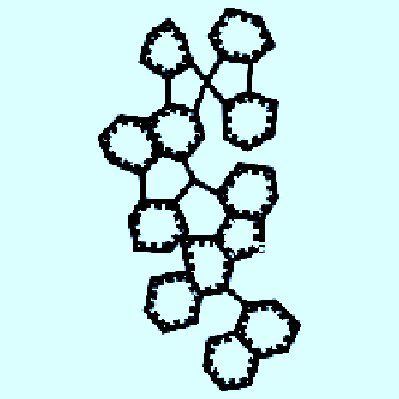 c1ccc(-c2ccccc2C(c2ccc3c(c2)C2(c4ccccc4-c4ccccc42)c2ccccc2-3)c2cccc3oc4c(-c5cccc6ccccc56)c5ccccc5cc4c23)cc1